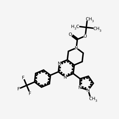 Cn1ccc(-c2nc(-c3ccc(C(F)(F)F)cc3)nc3c2CCN(C(=O)OC(C)(C)C)C3)n1